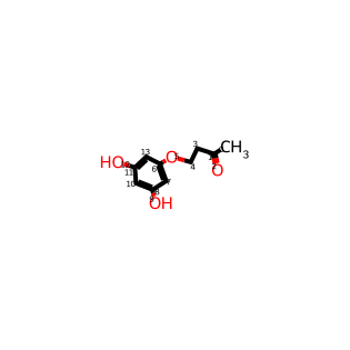 CC(=O)CCOc1cc(O)cc(O)c1